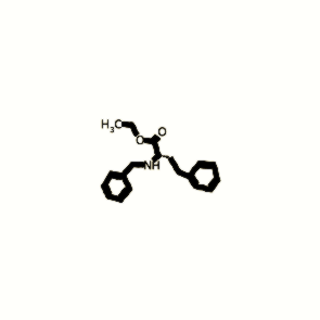 CCOC(=O)[C@H](CCc1ccccc1)NCc1ccccc1